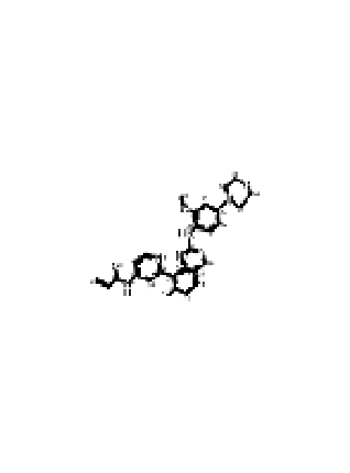 C=CC(=O)Nc1ccnc(-c2c(C)ccc3cnc(Nc4ccc(N5CCOCC5)cc4OC)nc23)c1